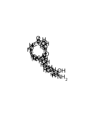 C=C1C[C@@H]2CC[C@]34C[C@@H](OC)C(O3)[C@H]3CC(O4)[C@H]4O[C@H](CC[C@@H]4O3)CC(=O)O[C@@H]3[C@@H](C)[C@@H]4O[C@@H]5C[C@]6(C[C@@H]7O[C@]8(C[C@H](C)[C@@H]9O[C@H](CN)[C@H](O)C[C@@H]9O8)C[C@H](C)[C@@H]7O6)O[C@@H]5C[C@@H]4O[C@H]3C[C@H]3O[C@@H](CC[C@@H]1O2)C[C@@H](C)C3=C